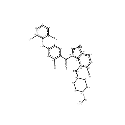 O=C(c1ccc(Oc2c(F)cccc2F)cc1Cl)c1c[nH]c2ncc(F)c(N[C@@H]3CC[C@@H](CO)OC3)c12